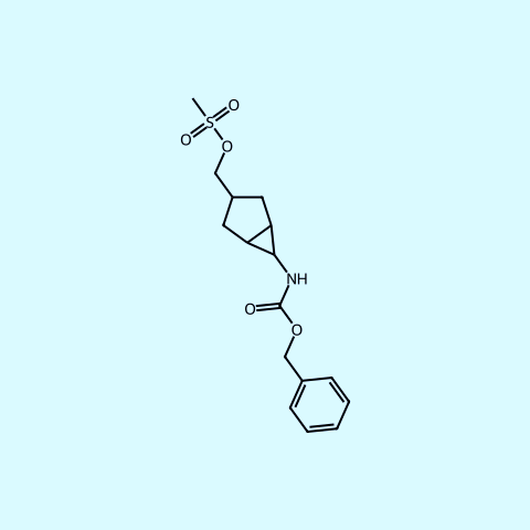 CS(=O)(=O)OCC1CC2C(C1)C2NC(=O)OCc1ccccc1